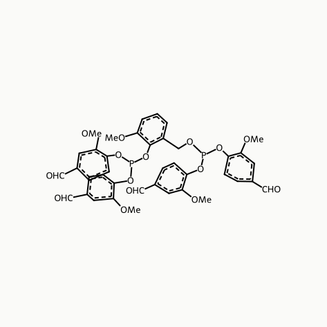 COc1cc(C=O)ccc1OP(OCc1cccc(OC)c1OP(Oc1ccc(C=O)cc1OC)Oc1ccc(C=O)cc1OC)Oc1ccc(C=O)cc1OC